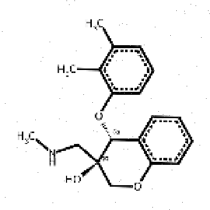 CNC[C@@]1(O)COc2ccccc2[C@H]1Oc1cccc(C)c1C